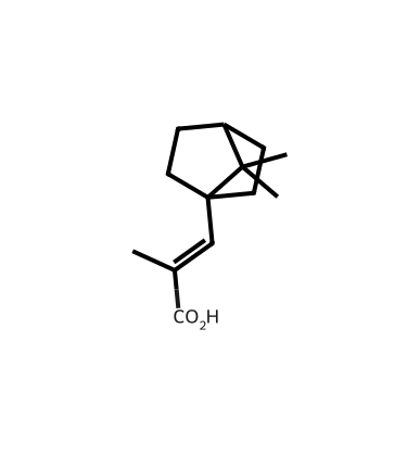 CC(=CC12CCC(CC1)C2(C)C)C(=O)O